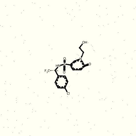 O=c1ccc(S(=O)(=O)N[C@H](c2ccc(Cl)cc2)C(F)(F)F)cn1CCO